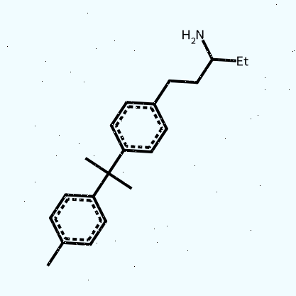 CCC(N)CCc1ccc(C(C)(C)c2ccc(C)cc2)cc1